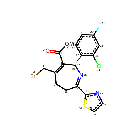 COC(=O)C1=C(CBr)CCC(c2nccs2)=N[C@H]1c1ccc(F)cc1Cl